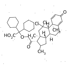 CC1C[C@H]2[C@@H]3CCC4=CC(=O)C=C[C@]4(C)[C@H]3C(Cl)(Cl)C[C@]2(C)[C@H]1C(=O)COC(C(=O)O)(C1CCCCC1)C1CCCCC1